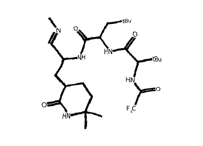 C/N=C/C(CC1CCC(C)(C)NC1=O)NC(=O)C(CC(C)(C)C)NC(=O)C(NC(=O)C(F)(F)F)C(C)(C)C